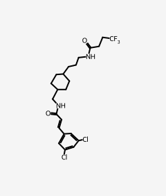 O=C(/C=C/c1cc(Cl)cc(Cl)c1)NCC1CCC(CCCNC(=O)CCC(F)(F)F)CC1